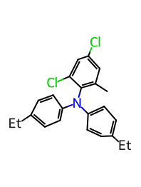 CCc1ccc(N(c2ccc(CC)cc2)c2c(C)cc(Cl)cc2Cl)cc1